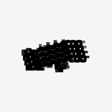 CCCCCCCCCCCCCCCCCC(=O)[O-].CCCCCCCCCCCCCCCCCC(=O)[O-].CCCCCCCCCCCCCCCCCC(=O)[O-].CCCCCCCCCCCCCCCCCC(=O)[O-].[Ni+2].[Ni+2]